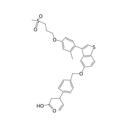 C=CC(CC(=O)O)c1ccc(COc2ccc3scc(-c4ccc(OCCCS(C)(=O)=O)cc4C)c3c2)cc1